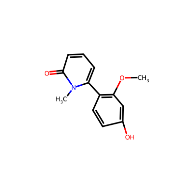 COc1cc(O)ccc1-c1cccc(=O)n1C